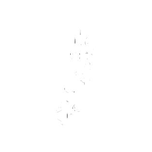 C[C@@H]1C[C@H]2[C@@H]3C[C@H](C)C4=CC(=O)C=C[C@]4(C)[C@@]3(F)[C@@H](O)C[C@]2(C)[C@@]1(O)C(=O)COC(=O)OCc1ccccc1[N+](=O)[O-]